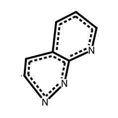 [c]1cc2cccnc2nn1